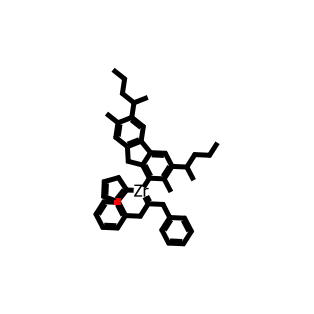 CCCC(C)c1cc2c(cc1C)Cc1c-2cc(C(C)CCC)c(C)[c]1[Zr]([C]1=CC=CC1)=[C](Cc1ccccc1)Cc1ccccc1